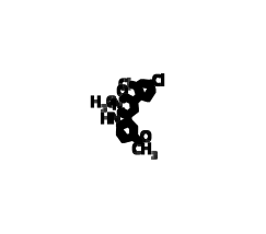 CC(=O)c1ccc2[nH]c3c(cc(-c4ccc(Cl)cc4Cl)c(=O)n3C)c2c1